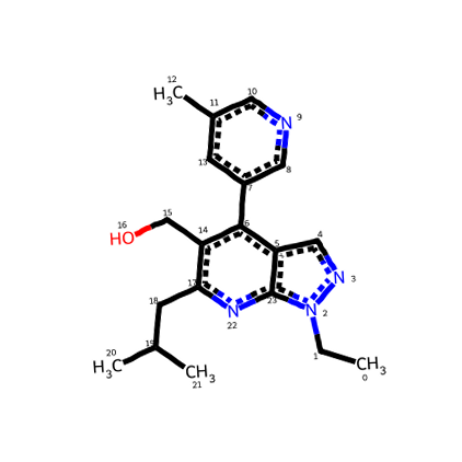 CCn1ncc2c(-c3cncc(C)c3)c(CO)c(CC(C)C)nc21